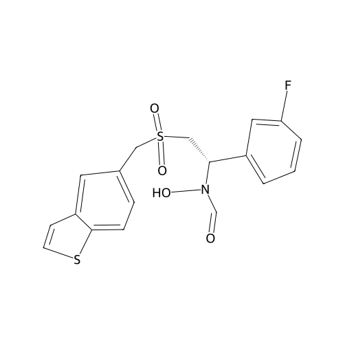 O=CN(O)[C@H](CS(=O)(=O)Cc1ccc2sccc2c1)c1cccc(F)c1